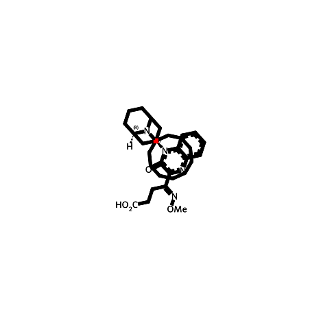 CON=C(CCC(=O)O)c1nc2ccccc2n([C@@H]2CC3CCC[C@H](C2)N3C2CCCCCCCCC2)c1=O